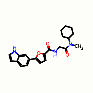 CN(C(=O)CNC(=O)c1ccc(-c2ccc3cc[nH]c3c2)o1)C1CCCCC1